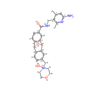 Cc1cc(N)nc(C)c1CNC(=O)c1ccc2c(c1)C1OC2c2ccc(C[N+]3(O)CCOCC3)cc21